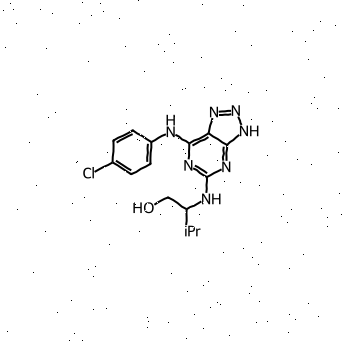 CC(C)C(CO)Nc1nc(Nc2ccc(Cl)cc2)c2nn[nH]c2n1